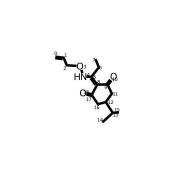 C=CCONC(CC)=C1C(=O)CC(C(C)C)CC1=O